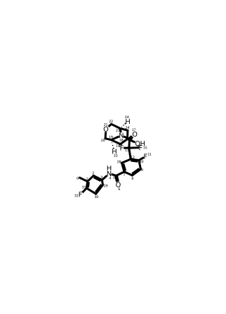 Cc1cc(NC(=O)c2ccc(F)c(C(F)(F)C(=O)N3[C@@H]4COC[C@H]3CC(O)C4)c2)ccc1F